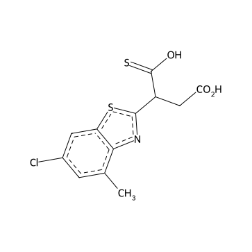 Cc1cc(Cl)cc2sc(C(CC(=O)O)C(O)=S)nc12